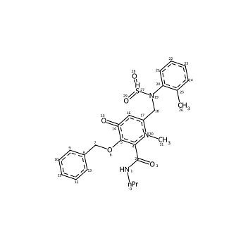 CCCNC(=O)c1c(OCc2ccccc2)c(=O)cc(CN(c2ccccc2C)[SH](=O)=O)n1C